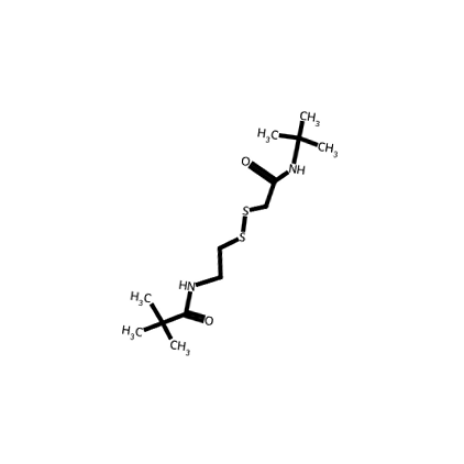 CC(C)(C)NC(=O)CSSCCNC(=O)C(C)(C)C